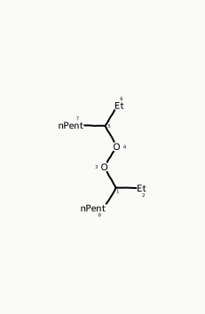 CCCCCC(CC)OOC(CC)CCCCC